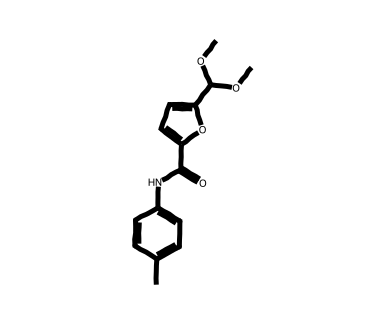 COC(OC)c1ccc(C(=O)Nc2ccc(C)cc2)o1